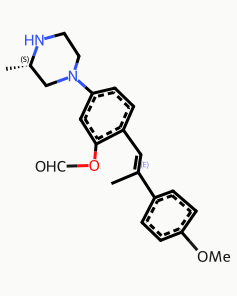 COc1ccc(/C(C)=C/c2ccc(N3CCN[C@@H](C)C3)cc2OC=O)cc1